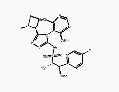 COc1ncnc(OC)c1-n1c(NS(=O)(=O)[C@@H](C)[C@H](OC)c2ncc(Cl)cn2)nnc1[C@@H]1CC[C@@H]1F